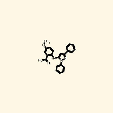 COc1ccc(Nc2cc(-c3ccccc3)nn2-c2ccccc2)c(C(=O)O)c1